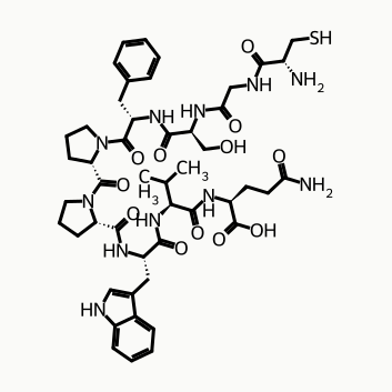 CC(C)[C@H](NC(=O)[C@H](Cc1c[nH]c2ccccc12)NC(=O)[C@@H]1CCCN1C(=O)[C@@H]1CCCN1C(=O)[C@H](Cc1ccccc1)NC(=O)[C@H](CO)NC(=O)CNC(=O)[C@@H](N)CS)C(=O)N[C@@H](CCC(N)=O)C(=O)O